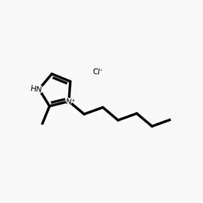 CCCCCC[n+]1cc[nH]c1C.[Cl-]